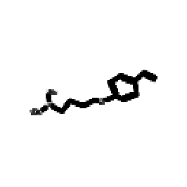 C=Cc1ccc(OCCCCN(C(C)(C)C)C(C)(C)C)cc1